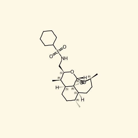 C[C@H]1[C@@H](CNS(=O)(=O)C2CCCCC2)O[C@@H]2O[C@@]3(C)CC[C@H]4[C@H](C)CC[C@@H]1[C@@]24OO3